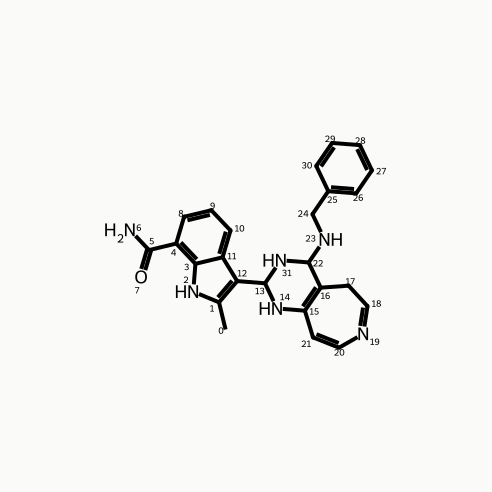 Cc1[nH]c2c(C(N)=O)cccc2c1C1NC2=C(CC=NC=C2)C(NCc2ccccc2)N1